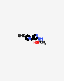 CB(O)Nc1cc(CN2CCC(C=O)CC2)ccn1